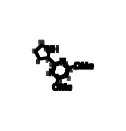 COc1cc(OC)nc(C2CCCN2)n1